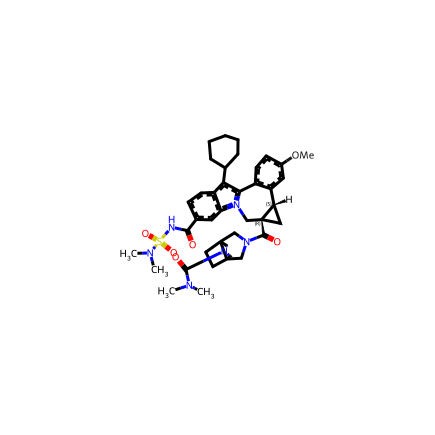 COc1ccc2c(c1)[C@@H]1C[C@]1(C(=O)N1CC34CCC3(CN(C(=O)N(C)C)C4)C1)Cn1c-2c(C2CCCCC2)c2ccc(C(=O)NS(=O)(=O)N(C)C)cc21